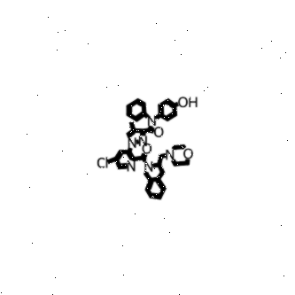 Cc1cn(-c2cc(Cl)cnc2C(=O)N2Cc3ccccc3CC2CN2CCOCC2)nc1C(=O)N(c1ccccc1)c1ccc(O)cc1